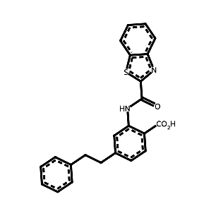 O=C(Nc1cc(CCc2ccccc2)ccc1C(=O)O)c1nc2ccccc2s1